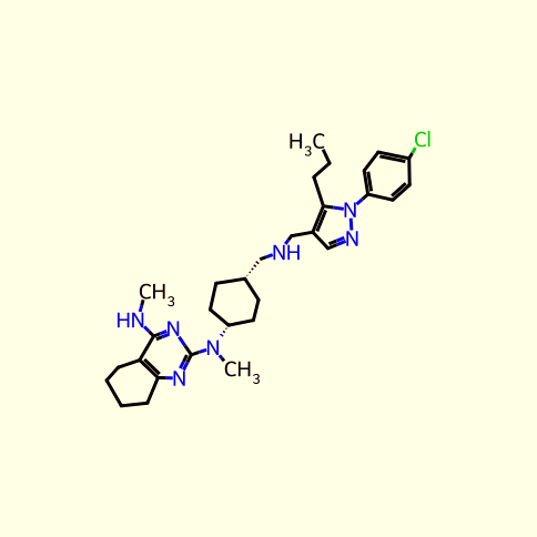 CCCc1c(CNC[C@H]2CC[C@@H](N(C)c3nc4c(c(NC)n3)CCCC4)CC2)cnn1-c1ccc(Cl)cc1